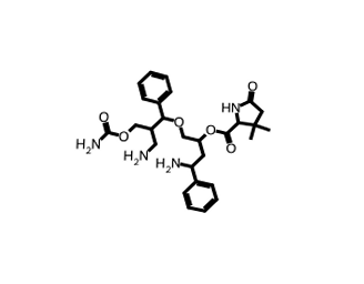 CC1(C)CC(=O)NC1C(=O)OC(COC(c1ccccc1)C(CN)COC(N)=O)CC(N)c1ccccc1